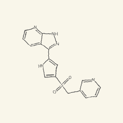 O=S(=O)(Cc1cccnc1)c1c[nH]c(-c2n[nH]c3ncccc23)c1